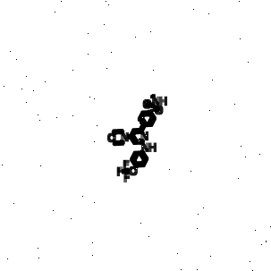 CNS(=O)(=O)c1ccc(-c2cc(N3CCOCC3)cc(Nc3ccc(OC(F)(F)F)cc3)n2)cc1